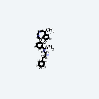 C=C1/C=C\C=C/N(c2cccc(/C(N)=C/C=C\Cc3ccccc3)c2)C2=C1CC=C2